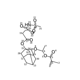 C=C(C)C(=O)OC(C)OC12CC3CC(CC(OC(=O)CS(=O)(=O)NS(C)(=O)=O)(C3)C1)C2